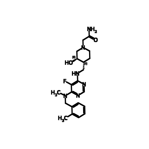 Cc1ccccc1CN(C)c1ncnc(NC[C@H]2CCN(CC(N)=O)C[C@@H]2O)c1F